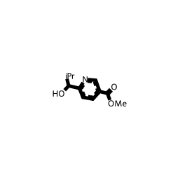 COC(=O)c1ccc(C(O)C(C)C)nc1